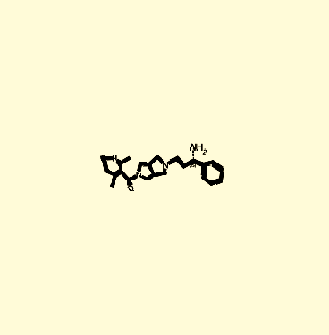 Cc1ccnc(C)c1C(=O)N1CC2CN(CC[C@H](N)c3ccccc3)CC2C1